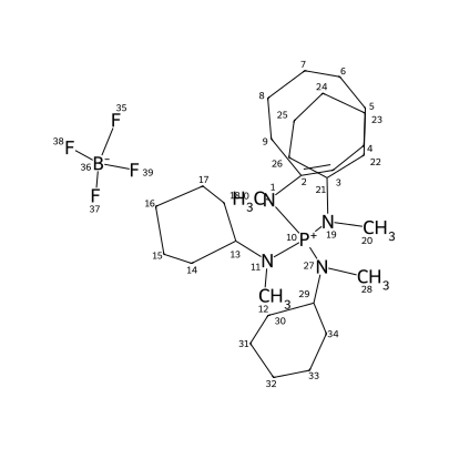 CN(C1=CCCCCCC1)[P+](N(C)C1CCCCC1)(N(C)C1CCCCC1)N(C)C1CCCCC1.F[B-](F)(F)F